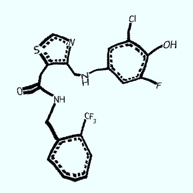 O=C(NCc1ccccc1C(F)(F)F)c1scnc1Nc1cc(F)c(O)c(Cl)c1